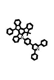 CC1(C)c2ccccc2-c2c3c(c4c5ccccc5n(-c5ccc(-c6cc(-c7ccccc7)nc(-c7ccccc7)c6)cc5)c4c21)C(c1ccccc1)c1ccccc1-3